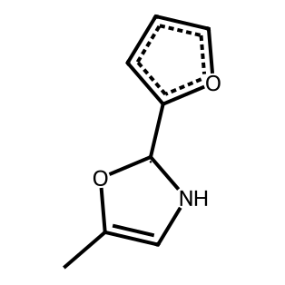 CC1=CN[C](c2ccco2)O1